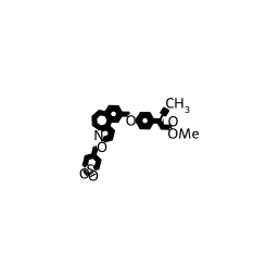 CC#C[C@@H](CC(=O)OC)c1ccc(OCc2ccc3c(c2)-c2ccc(OCC4CCS(=O)(=O)CC4)nc2CCC3)cc1